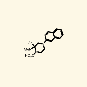 CNC1(C(C)=O)CN(c2cc3ccccc3cn2)CCN1C(=O)O